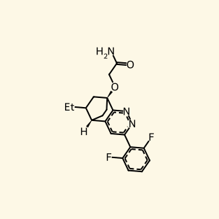 CCC1C[C@@]2(OCC(N)=O)CC[C@@H]1c1cc(-c3c(F)cccc3F)nnc12